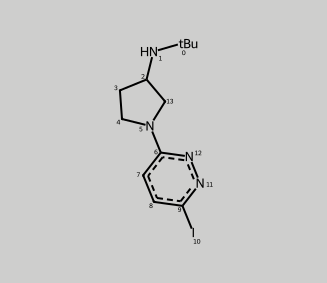 CC(C)(C)NC1CCN(c2ccc(I)nn2)C1